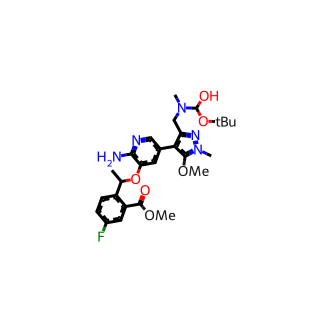 COC(=O)c1cc(F)ccc1C(C)Oc1cc(-c2c(CN(C)C(O)OC(C)(C)C)nn(C)c2OC)cnc1N